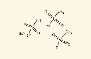 CS(=O)(=O)[O-].CS(=O)(=O)[O-].CS(=O)(=O)[O-].[Sc+3]